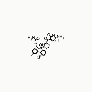 Cc1cccc(-c2c(Cl)cccc2[C@](O)(CCCOC(N)=O)[C@@H]2CCCN(C(=O)c3c[nH]c(N)nc3=O)C2)c1